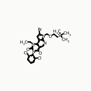 CCn1c(=O)n(-c2c(Cl)cccc2Cl)c(=O)c2cnc3c(cc(Br)n3COCC[Si](C)(C)C)c21